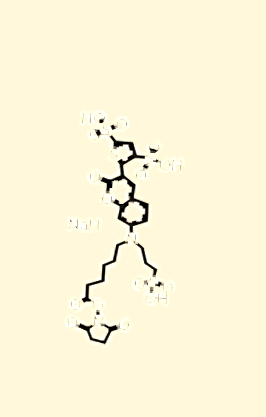 O=C(CCCCCN(CCCS(=O)(=O)O)c1ccc2cc(-c3sc(S(=O)(=O)O)cc3S(=O)(=O)O)c(=O)oc2c1)ON1C(=O)CCC1=O.[NaH]